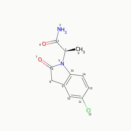 C[C@H](C(N)=O)N1C(=O)Cc2cc(Cl)ccc21